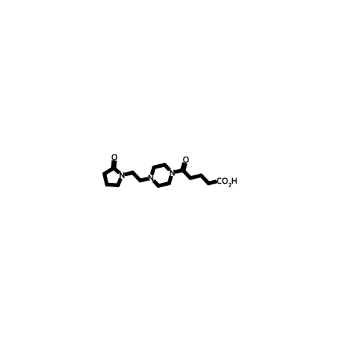 O=C(O)CCCC(=O)N1CCN(CCN2CCCC2=O)CC1